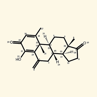 C=C1C[C@@H]2[C@H](CC[C@]3(C)C(=O)CC[C@@H]23)[C@@]2(C)C(C)=CC(=O)C(O)=C12